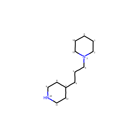 C1CCN(CCCC2CCNCC2)CC1